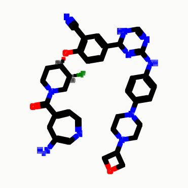 N#Cc1cc(C2N=C(Nc3ccc(N4CCN(C5COC5)CC4)cc3)N=CN2)ccc1O[C@H]1CCN(C(=O)C2=CC=NC=C(N)C2)C[C@H]1F